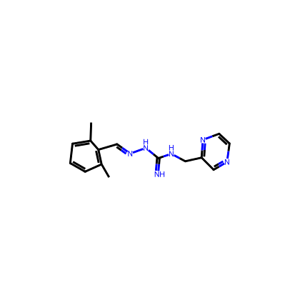 Cc1cccc(C)c1C=NNC(=N)NCc1cnccn1